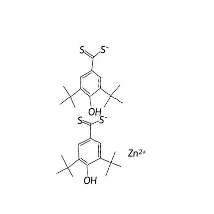 CC(C)(C)c1cc(C(=S)[S-])cc(C(C)(C)C)c1O.CC(C)(C)c1cc(C(=S)[S-])cc(C(C)(C)C)c1O.[Zn+2]